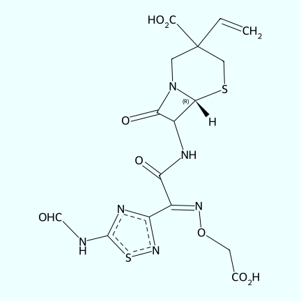 C=CC1(C(=O)O)CS[C@@H]2C(NC(=O)C(=NOCC(=O)O)c3nsc(NC=O)n3)C(=O)N2C1